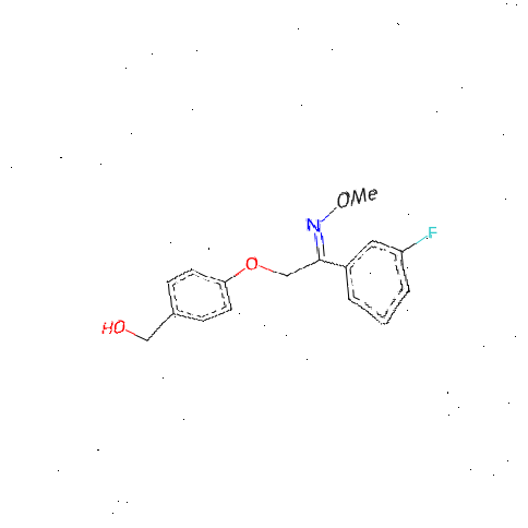 CON=C(COc1ccc(CO)cc1)c1cccc(F)c1